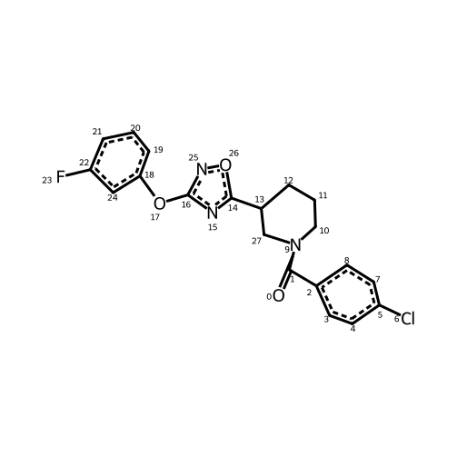 O=C(c1ccc(Cl)cc1)N1CCCC(c2nc(Oc3cccc(F)c3)no2)C1